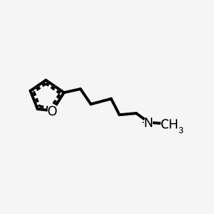 C[N]CCCCCc1ccco1